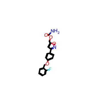 NC(=O)OCc1cc(-c2ccc(OCc3ccccc3F)cc2)no1